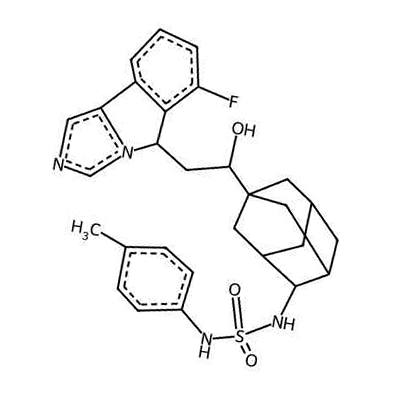 Cc1ccc(NS(=O)(=O)NC2C3CC4CC2CC(C(O)CC2c5c(F)cccc5-c5cncn52)(C4)C3)cc1